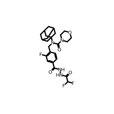 O=C(NNC(=O)C(F)F)c1ccc(CN(C(=O)N2CCOCC2)C23CC4CC(CC(C4)C2)C3)c(F)c1